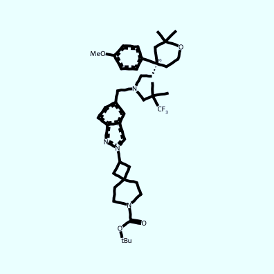 COc1ccc([C@]2(CCN(Cc3ccc4nn(C5CC6(CCN(C(=O)OC(C)(C)C)CC6)C5)cc4c3)CC(C)(C)C(F)(F)F)CCOC(C)(C)C2)cc1